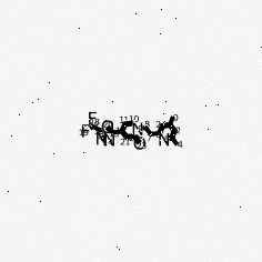 Cc1cc(C)nc(CCn2ccc(-c3nnc(C(F)F)o3)cc2=O)c1